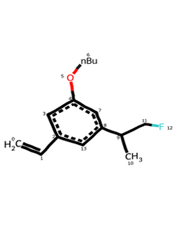 C=Cc1cc(OCCCC)cc([C](C)CF)c1